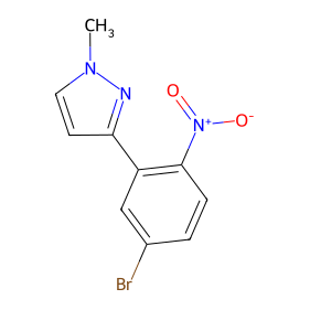 Cn1ccc(-c2cc(Br)ccc2[N+](=O)[O-])n1